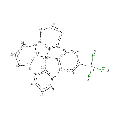 FC(F)(F)c1ccc([B-](c2ccccc2)(c2ccccc2)c2ccccc2)cc1